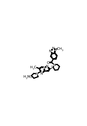 Cc1cn2nc([C@@H]3CCCCN3C(=O)c3ccc4c(c3)nnn4C)cc2nc1N1CC[C@H](N)C1